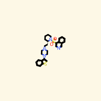 O=S(=O)(c1cncc2ccccc12)N1CCCC[C@H]1CCN1CCN(c2csc3ccccc23)CC1